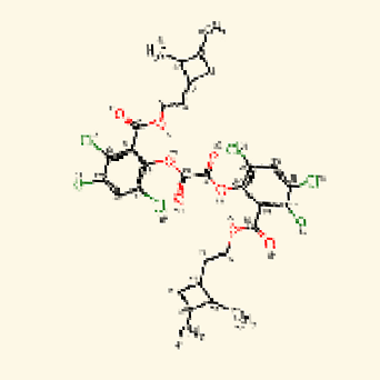 CC1CC(CCOC(=O)c2c(Cl)c(Cl)cc(Cl)c2OC(=O)C(=O)Oc2c(Cl)cc(Cl)c(Cl)c2C(=O)OCCC2CC(C)C2C)C1C